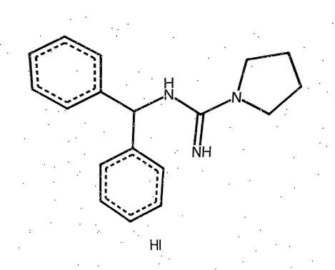 I.N=C(NC(c1ccccc1)c1ccccc1)N1CCCC1